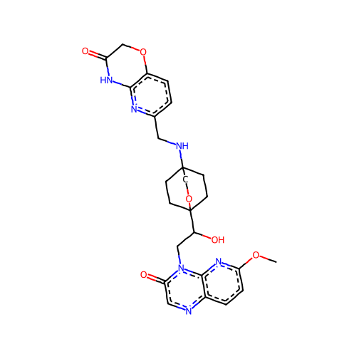 COc1ccc2ncc(=O)n(CC(O)C34CCC(NCc5ccc6c(n5)NC(=O)CO6)(CC3)CO4)c2n1